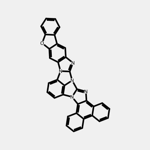 c1ccc2c(c1)oc1cc3c(cc12)nc1n3c2cccc3c2n1c1nc2c4ccccc4c4ccccc4c2n31